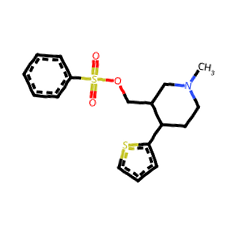 CN1CCC(c2cccs2)C(COS(=O)(=O)c2ccccc2)C1